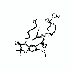 COCCCCN1C(=O)C(C)(C)Oc2cc(OC)c(C(=O)N(C(C)C)[C@@H]3CCCN(C(=O)O)C3)cc21